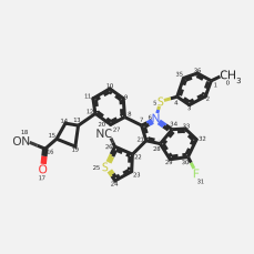 Cc1ccc(Sn2c(-c3cccc(C4CC(C(=O)N=O)C4)c3)c(-c3ccsc3C#N)c3cc(F)ccc32)cc1